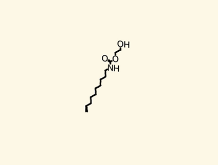 C=CCCCCCCCCNC(=O)OCCO